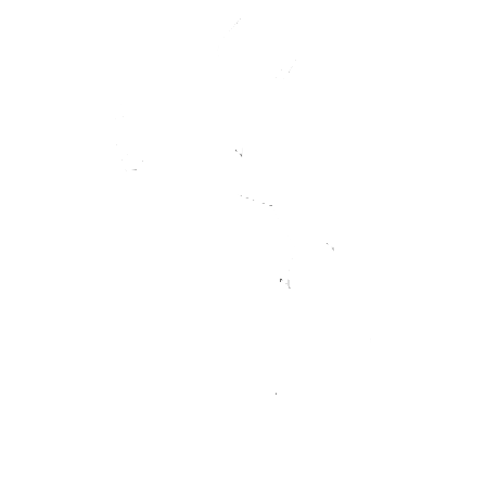 Clc1ccc(-c2nc(C3CN(C(c4ccccc4)c4ccccc4)C3)no2)c(Cl)c1